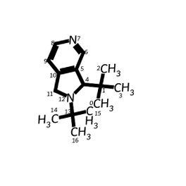 CC(C)(C)C1c2cnccc2CN1C(C)(C)C